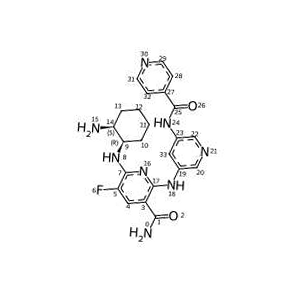 NC(=O)c1cc(F)c(N[C@@H]2CCCC[C@@H]2N)nc1Nc1cncc(NC(=O)c2ccncc2)c1